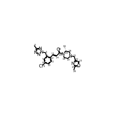 Cc1nnn(Cc2cc(Cl)ccc2C=CC(=O)N2CCN(Cc3coc(C)n3)C[C@H]2C)n1